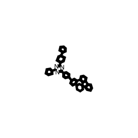 c1ccc(-c2ccc(-c3nc(-c4ccccc4)nc(-c4ccc(-c5cccc(-c6cccc7c6C6(CCCCC6)c6ccccc6-7)c5)cc4)n3)cc2)cc1